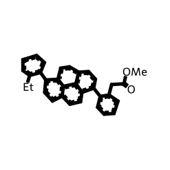 CCc1ccccc1-c1ccc2ccc3c(-c4ccccc4CC(=O)OC)ccc4ccc1c2c43